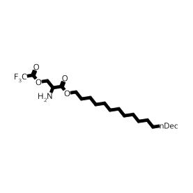 CCCCCCCCCCCCCCCCCCCCCCOC(=O)C(N)COC(=O)C(F)(F)F